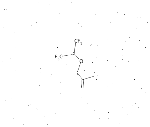 C=C(C)COP(C(F)(F)F)C(F)(F)F